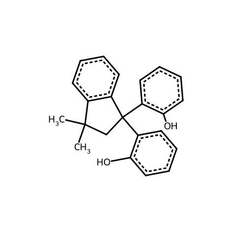 CC1(C)CC(c2ccccc2O)(c2ccccc2O)c2ccccc21